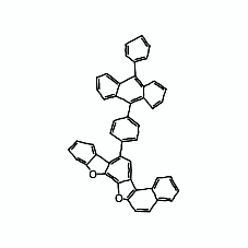 c1ccc(-c2c3ccccc3c(-c3ccc(-c4cc5c(oc6ccc7ccccc7c65)c5oc6ccccc6c45)cc3)c3ccccc23)cc1